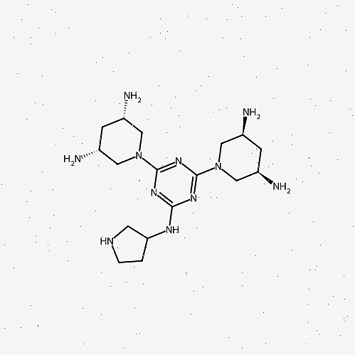 N[C@@H]1C[C@H](N)CN(c2nc(NC3CCNC3)nc(N3C[C@H](N)C[C@H](N)C3)n2)C1